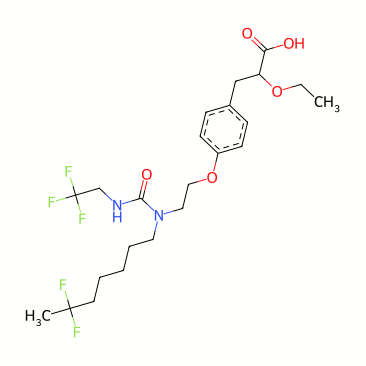 CCOC(Cc1ccc(OCCN(CCCCCC(C)(F)F)C(=O)NCC(F)(F)F)cc1)C(=O)O